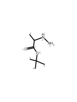 CC(NN)C(=O)OC(C)(C)C